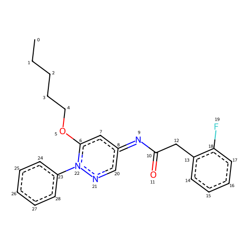 CCCCCOc1cc(=NC(=O)Cc2ccccc2F)cnn1-c1ccccc1